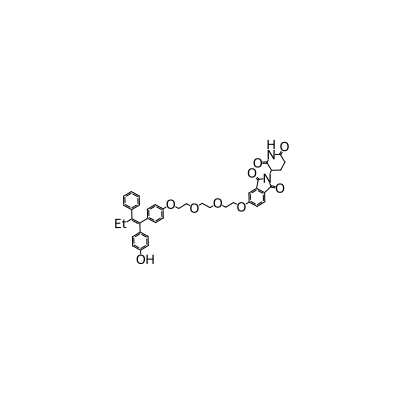 CCC(=C(c1ccc(O)cc1)c1ccc(OCCOCCOCCOc2ccc3c(c2)C(=O)N(C2CCC(=O)NC2=O)C3=O)cc1)c1ccccc1